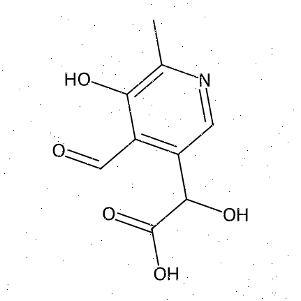 Cc1ncc(C(O)C(=O)O)c(C=O)c1O